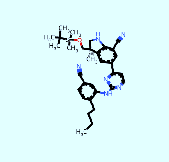 CCCCc1ccc(C#N)cc1Nc1nccc(-c2cc(C#N)c3c(c2)[C@@](C)(CO[Si](C)(C)C(C)(C)C)CN3)n1